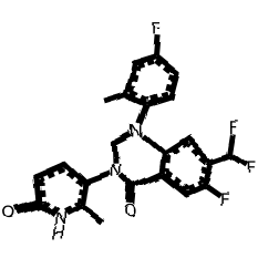 Cc1cc(F)ccc1N1CN(c2ccc(=O)[nH]c2C)C(=O)c2cc(F)c(C(F)F)cc21